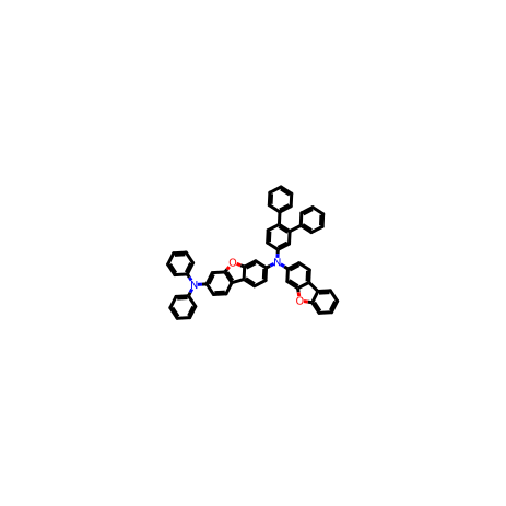 c1ccc(-c2ccc(N(c3ccc4c(c3)oc3ccccc34)c3ccc4c(c3)oc3cc(N(c5ccccc5)c5ccccc5)ccc34)cc2-c2ccccc2)cc1